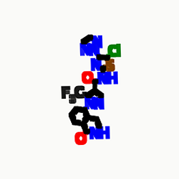 O=C(Nc1nc(-n2nccn2)c(Cl)s1)c1cnn(-c2cccc3c(=O)[nH]ccc23)c1C(F)(F)F